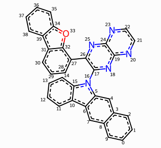 c1ccc2cc3c(cc2c1)c1ccccc1n3-c1nc2nccnc2nc1-c1cccc2c1oc1ccccc12